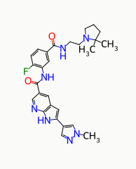 Cn1cc(-c2cc3cc(C(=O)Nc4cc(C(=O)NCCN5CCCC5(C)C)ccc4F)cnc3[nH]2)cn1